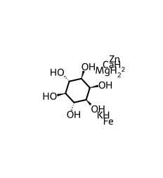 O[C@H]1[C@H](O)[C@@H](O)[C@H](O)[C@@H](O)[C@H]1O.[CaH2].[Fe].[KH].[MgH2].[Zn]